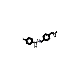 CN(C)Cc1ccc(/C=N/Nc2ccc(I)cc2)cc1